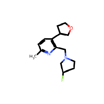 Cc1ccc(C2CCOC2)c(CN2CCC(F)C2)n1